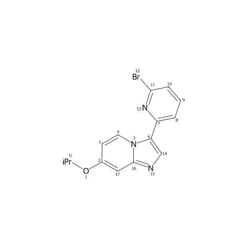 CC(C)Oc1ccn2c(-c3cccc(Br)n3)cnc2c1